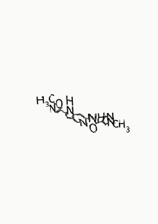 Cc1ncc(-c2cc3cnc(NC(=O)c4cnn(C)c4)cc3[nH]2)o1